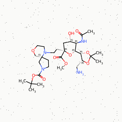 COC(=O)[C@@]1(CCN2CCOC[C@@]23CCN(C(=O)OC(C)(C)C)C3)C[C@H](O)[C@@H](NC(C)=O)[C@H]([C@@H]2OC(C)(C)O[C@@H]2CN)O1